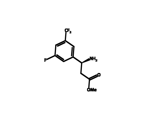 COC(=O)C[C@H](N)c1cc(F)cc(C(F)(F)F)c1